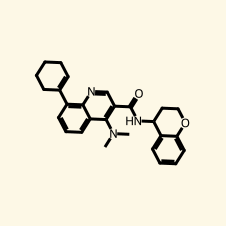 CN(C)c1c(C(=O)NC2CCOc3ccccc32)cnc2c(C3=CCCCC3)cccc12